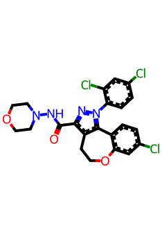 O=C(NN1CCOCC1)c1nn(-c2ccc(Cl)cc2Cl)c2c1CCOc1cc(Cl)ccc1-2